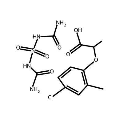 Cc1cc(Cl)ccc1OC(C)C(=O)O.NC(=O)NS(=O)(=O)NC(N)=O